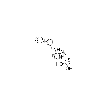 O[C@@H]1[C@H](O)CS[C@H]1c1nnc2c(NCc3cccc(N4CCOCC4)c3)nccn12